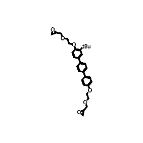 CC(C)(C)c1cc(-c2ccc(-c3ccc(OCCOCC4CO4)cc3)cc2)ccc1OCCOCC1CO1